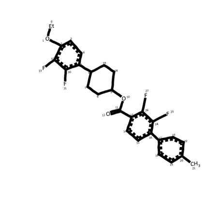 CCOc1ccc(C2CCC(OC(=O)c3ccc(-c4ccc(C)cc4)c(F)c3F)CC2)c(F)c1F